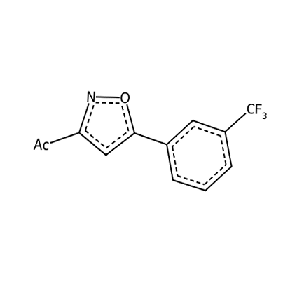 CC(=O)c1cc(-c2cccc(C(F)(F)F)c2)on1